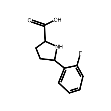 O=C(O)C1CCC(c2ccccc2F)N1